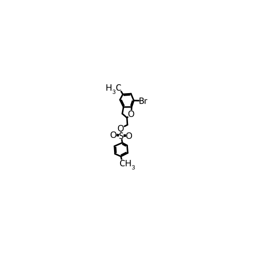 Cc1ccc(S(=O)(=O)OCC2Cc3cc(C)cc(Br)c3O2)cc1